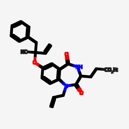 C=CCN1C(=O)C(CCC(=O)OCC)NC(=O)c2cc(OC(C#N)(C=C)Cc3ccccc3)ccc21